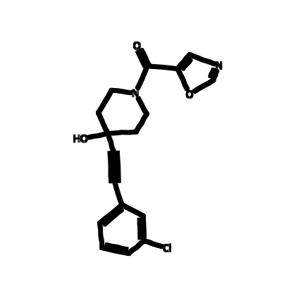 O=C(c1cnco1)N1CCC(O)(C#Cc2cccc(Cl)c2)CC1